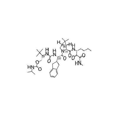 CCCCC(NC(=O)[C@@H]1[C@@H]2[C@H](CN1C(=O)[C@@H](NC(=O)N[C@H](COC(=O)NC(C)C)C(C)(C)C)C1Cc3ccccc3C1)C2(C)C)C(=O)C(=O)NC